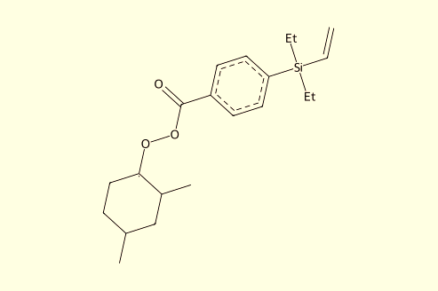 C=C[Si](CC)(CC)c1ccc(C(=O)OO[C]2CCC(C)CC2C)cc1